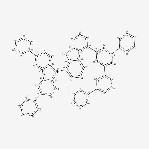 c1ccc(-c2cccc(-c3nc(-c4ccccc4)nc(-c4cccc5oc6c(-n7c8ccc(-c9ccccc9)cc8c8cc(-c9ccccc9)ccc87)cccc6c45)n3)c2)cc1